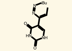 C/C=C(\N=N/C(C)CC)c1c[nH]c(=O)[nH]c1=O